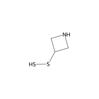 SSC1CNC1